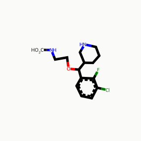 O=C(O)NCCOC(c1cccc(Cl)c1F)C1CCCNC1